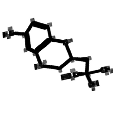 C[C@](O)(C[C@H]1CNc2cc(N)ccc2O1)C(=O)O